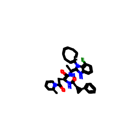 C[C@H](NC(=O)[C@H](CC(=O)N1CCCC[C@@H]1C)NC(=O)[C@@H]1C[C@H]1c1ccccc1)C1Nc2cccc(F)c2N1C1CCCCCCCC1